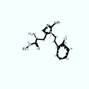 CCCc1ncc(C[C@H](N)C(=S)OCC)n1CCc1ccccc1Cl